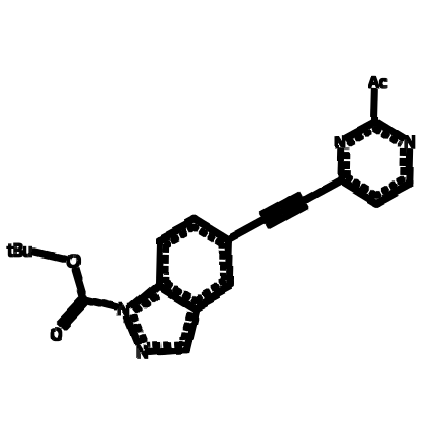 CC(=O)c1nccc(C#Cc2ccc3c(cnn3C(=O)OC(C)(C)C)c2)n1